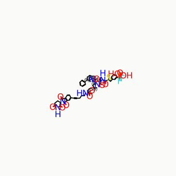 CC(C)(C)C(NC(=O)c1cc2cc(C(F)(F)P(=O)(O)O)ccc2s1)C(=O)N1C[C@@H](OCC(=O)NCCCC#Cc2ccc3c(c2)C(=O)N(C2CCC(=O)NC2=O)C3=O)C[C@H]1C(=O)N1CCC[C@H](c2ccccc2)C1